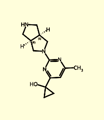 Cc1cc(C2(O)CC2)nc(N2C[C@H]3CNC[C@H]3C2)n1